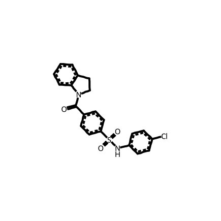 O=C(c1ccc(S(=O)(=O)Nc2ccc(Cl)cc2)cc1)N1CCc2ccccc21